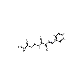 CCNC(=O)CCNC(=O)C(=O)/C=C/c1ccccc1